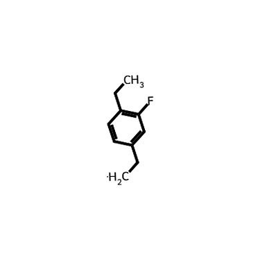 [CH2]Cc1ccc(CC)c(F)c1